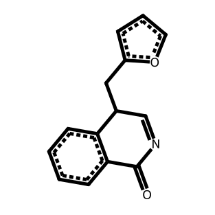 O=C1N=CC(Cc2ccco2)c2ccccc21